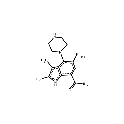 Cc1[nH]c2c(C(N)=O)cc(F)c(N3CCNCC3)c2c1C.Cl